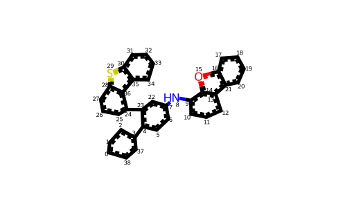 c1ccc(-c2ccc(Nc3cccc4c3oc3ccccc34)cc2-c2cccc3sc4ccccc4c23)cc1